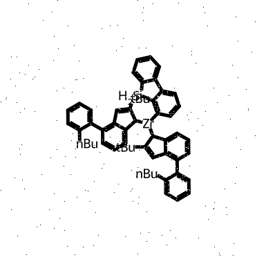 CCCCc1ccccc1-c1cccc2c1C=C(C(C)(C)C)[CH]2[Zr]([c]1cccc2c1[SiH2]c1ccccc1-2)[CH]1C(C(C)(C)C)=Cc2c(-c3ccccc3CCCC)cccc21